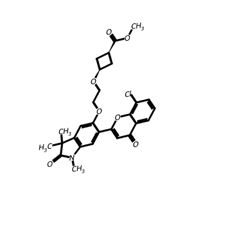 COC(=O)[C@H]1C[C@@H](OCCOc2cc3c(cc2-c2cc(=O)c4cccc(Cl)c4o2)N(C)C(=O)C3(C)C)C1